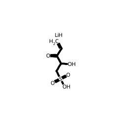 C=CC(=O)C(O)CS(=O)(=O)O.[LiH]